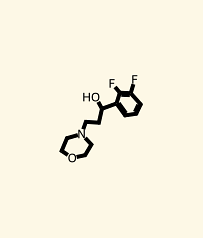 OC(CCN1CCOCC1)c1cccc(F)c1F